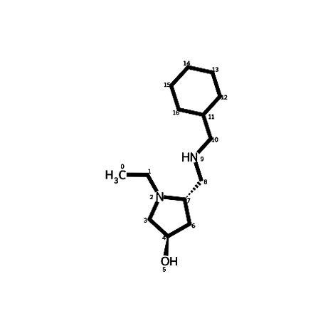 CCN1C[C@H](O)C[C@H]1CNCC1CCCCC1